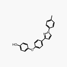 Cc1ccc(-n2ccc(-c3ccc(Oc4ccc(O)cc4)cc3)n2)cc1